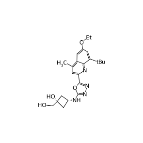 CCOc1cc(C(C)(C)C)c2nc(-c3nnc(N[C@H]4C[C@](O)(CO)C4)o3)cc(C)c2c1